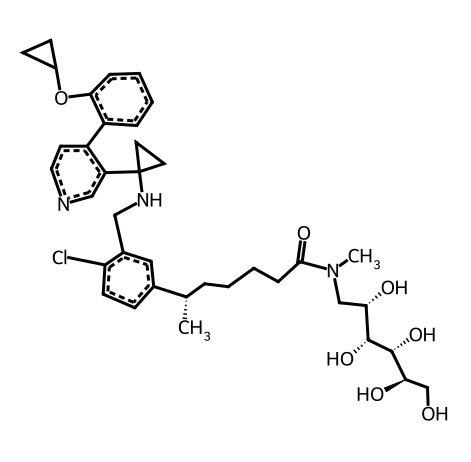 C[C@@H](CCCCC(=O)N(C)C[C@H](O)[C@@H](O)[C@H](O)[C@H](O)CO)c1ccc(Cl)c(CNC2(c3cnccc3-c3ccccc3OC3CC3)CC2)c1